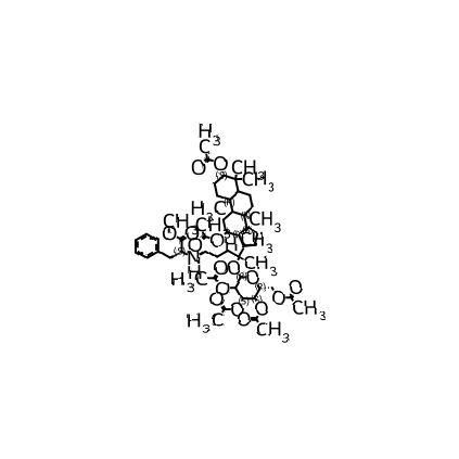 COC(=O)[C@H](Cc1ccccc1)NCCCC(C)(O[C@H]1O[C@H](COC(C)=O)[C@@H](OC(C)=O)[C@H](OC(C)=O)C1OC(C)=O)C1CC[C@]2(C)[C@@H]1C(OC(C)=O)CC1[C@@]3(C)CC[C@H](OC(C)=O)C(C)(C)C3CC[C@]12C